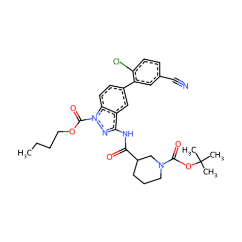 CCCCOC(=O)n1nc(NC(=O)C2CCCN(C(=O)OC(C)(C)C)C2)c2cc(-c3cc(C#N)ccc3Cl)ccc21